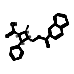 C[C@@H]1[C@H](COC(=O)c2ccc3ccccc3c2)[C@@H](c2ccccc2)[C@@H]1C(=O)O